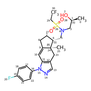 C[C@H](O)CN(C[C@H]1CCC2=Cc3c(cnn3-c3ccc(F)cc3)C[C@@]21C)S(=O)(=O)CC(F)(F)F